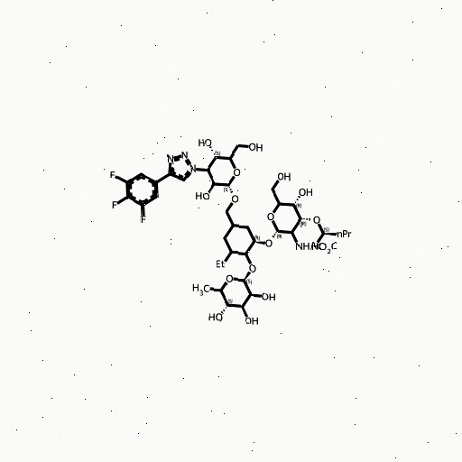 CCC[C@H](O[C@@H]1C(NC(C)=O)[C@H](O[C@@H]2CC(CO[C@H]3OC(CO)[C@@H](O)C(n4cc(-c5cc(F)c(F)c(F)c5)nn4)C3O)CC(CC)C2O[C@@H]2OC(C)[C@@H](O)C(O)C2O)OC(CO)[C@@H]1O)C(=O)O